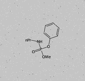 CCCNP(=O)(OC)Oc1ccccc1